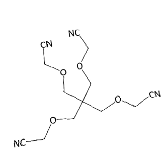 N#CCOCC(COCC#N)(COCC#N)COCC#N